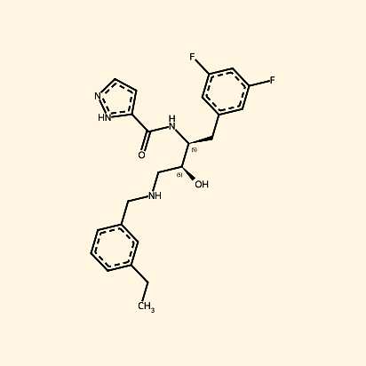 CCc1cccc(CNC[C@H](O)[C@H](Cc2cc(F)cc(F)c2)NC(=O)c2ccn[nH]2)c1